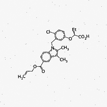 C=CCOC(=O)c1ccc2c(c1)c(C)c(C)n2Cc1cc(O[C@@H](CC)C(=O)O)ccc1Cl